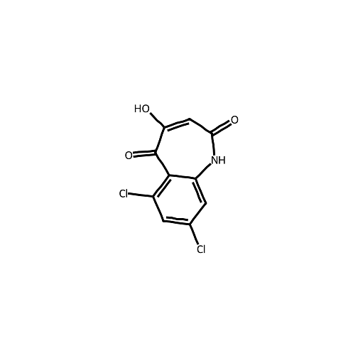 O=c1cc(O)c(=O)c2c(Cl)cc(Cl)cc2[nH]1